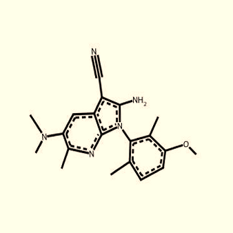 COc1ccc(C)c(-n2c(N)c(C#N)c3cc(N(C)C)c(C)nc32)c1C